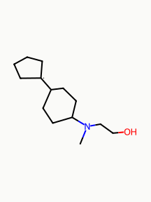 CN(CCO)C1CCC([C]2CCCC2)CC1